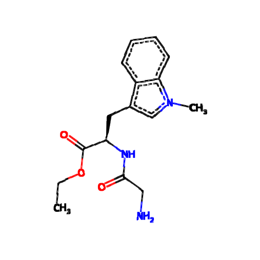 CCOC(=O)[C@@H](Cc1cn(C)c2ccccc12)NC(=O)CN